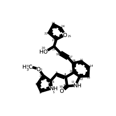 COc1cc[nH]c1C=C1C(=O)Nc2cccc(C#CC(O)c3ccco3)c21